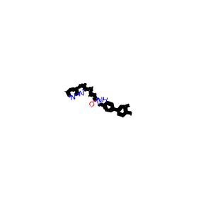 Cc1ccc(-c2ccc(CNC(=O)CCCc3ccc4cccnc4n3)cc2)cc1C